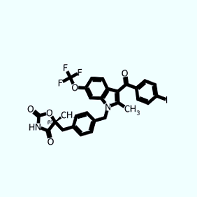 Cc1c(C(=O)c2ccc(I)cc2)c2ccc(OC(F)(F)F)cc2n1Cc1ccc(C[C@@]2(C)OC(=O)NC2=O)cc1